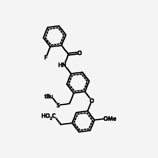 COc1ccc(CC(=O)O)cc1Oc1ccc(NC(=O)c2ccccc2F)cc1CSC(C)(C)C